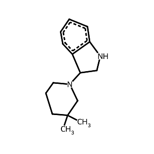 CC1(C)CCCN(C2CNc3ccccc32)C1